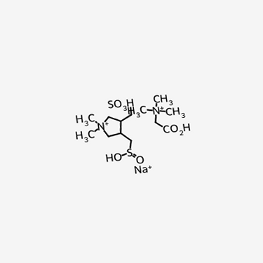 C[N+](C)(C)CC(=O)O.C[N+]1(C)CC(CS(=O)O)C(CS(=O)(=O)O)C1.[Na+]